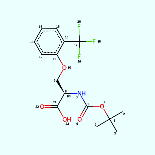 CC(C)(C)OC(=O)N[C@H](COc1ccccc1C(F)(F)F)C(=O)O